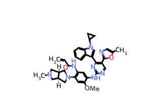 C=CC(=O)Nc1cc(Nc2ncc(-c3ncc(C)o3)c(-c3cn(C4CC4)c4ccccc34)n2)c(OC)cc1N1C[C@H]2CN(C)C[C@H]2C1